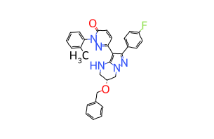 Cc1ccccc1-n1nc(-c2c(-c3ccc(F)cc3)nn3c2NC[C@@H](OCc2ccccc2)C3)ccc1=O